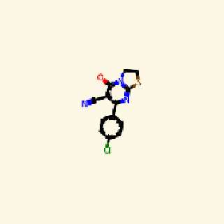 N#Cc1c(-c2ccc(Cl)cc2)nc2n(c1=O)CCS2